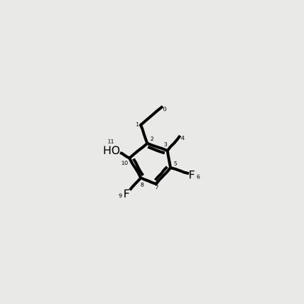 CCc1c(C)c(F)cc(F)c1O